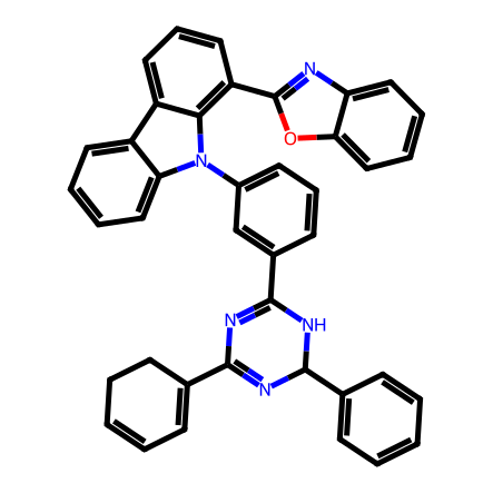 C1=CCCC(C2=NC(c3ccccc3)NC(c3cccc(-n4c5ccccc5c5cccc(-c6nc7ccccc7o6)c54)c3)=N2)=C1